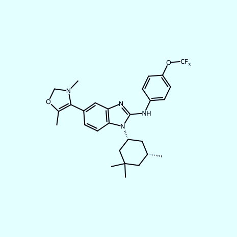 CC1=C(c2ccc3c(c2)nc(Nc2ccc(OC(F)(F)F)cc2)n3[C@@H]2C[C@H](C)CC(C)(C)C2)N(C)CO1